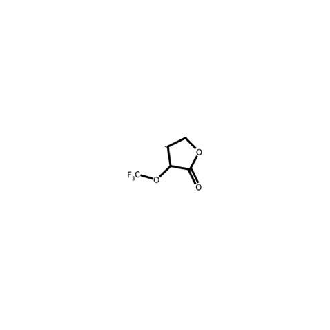 O=C1OC[CH]C1OC(F)(F)F